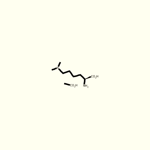 CC(=O)O.CN(C)CCCC[C@H](N)C(=O)O